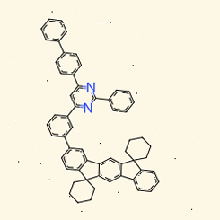 c1ccc(-c2ccc(-c3cc(-c4cccc(-c5ccc6c(c5)-c5cc7c(cc5C65CCCCC5)-c5ccccc5C75CCCCC5)c4)nc(-c4ccccc4)n3)cc2)cc1